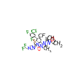 C=CC(=O)N1C[C@H](C)N(c2nc(=O)n3c4c(c(-c5cc(Cl)c(F)cc5F)c(C(F)(F)F)cc24)SC[C@@H]3CN2CCN(CC(F)F)CC2)C[C@H]1C